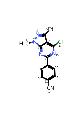 CCc1nn(C)c2nc(-c3ccc(C#N)cc3)nc(Cl)c12